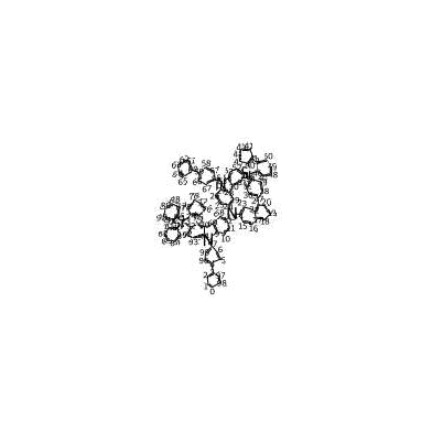 c1ccc(-c2ccc(-n3c4ccc(N(c5ccc6ccccc6c5)c5ccc6c(c5)c5cc([Si](c7ccccc7)(c7ccccc7)c7ccccc7)ccc5n6-c5ccc(-c6ccccc6)cc5)cc4c4cc([Si](c5ccccc5)(c5ccccc5)c5ccccc5)ccc43)cc2)cc1